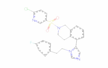 O=S(=O)(c1ccc(Cl)nc1)N1CCc2c(cccc2-c2cncn2CCc2ccc(F)cc2)C1